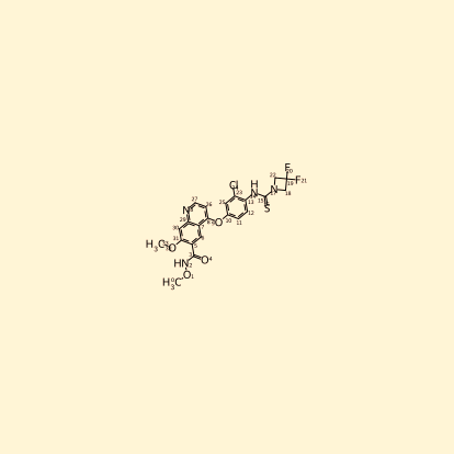 CONC(=O)c1cc2c(Oc3ccc(NC(=S)N4CC(F)(F)C4)c(Cl)c3)ccnc2cc1OC